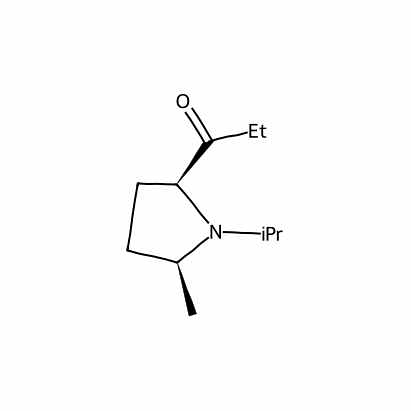 CCC(=O)[C@@H]1CC[C@H](C)N1C(C)C